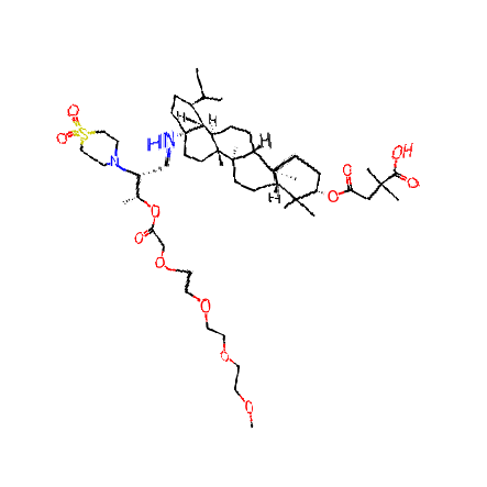 COCCOCCOCCOCC(=O)O[C@H](C)[C@@H](CN[C@]12CC[C@@H](C(C)C)[C@@H]1[C@H]1CC[C@@H]3[C@@]4(C)CC[C@H](OC(=O)CC(C)(C)C(=O)O)C(C)(C)[C@@H]4CC[C@@]3(C)[C@]1(C)CC2)N1CCS(=O)(=O)CC1